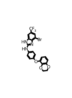 FC(F)(F)c1cc(Br)c2nc(Nc3ccc(Oc4cccc5c4OCCO5)cc3)[nH]c2c1